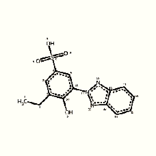 CCc1cc(S(=O)(=O)O)cc(-n2nc3ccccc3n2)c1O